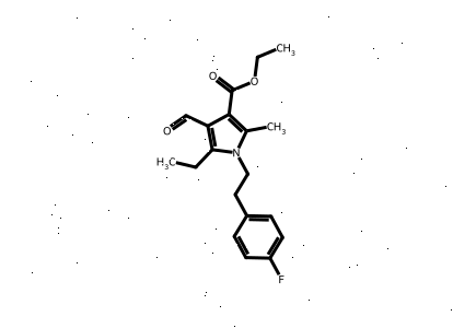 CCOC(=O)c1c(C=O)c(CC)n(CCc2ccc(F)cc2)c1C